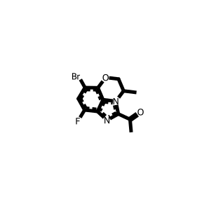 CC(=O)c1nc2c(F)cc(Br)c3c2n1C(C)CO3